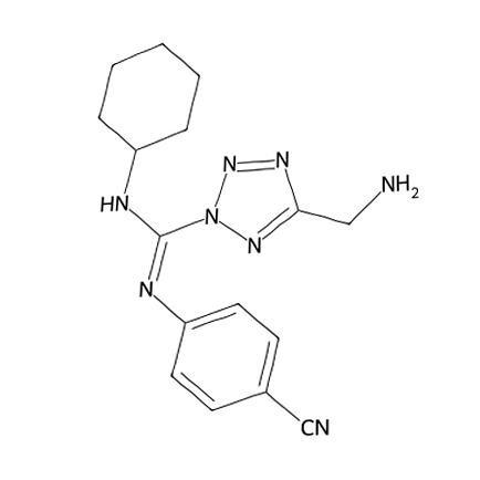 N#Cc1ccc(N=C(NC2CCCCC2)n2nnc(CN)n2)cc1